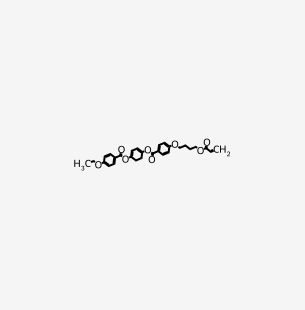 C=CC(=O)OCCCCOc1ccc(C(=O)OC2=CC=C(OC(=O)c3ccc(OCC)cc3)CC2)cc1